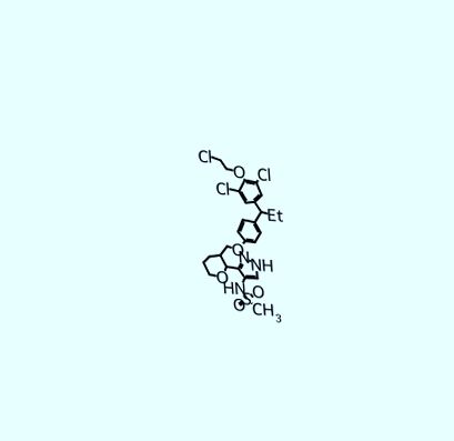 CCC(c1ccc(OCC2CCCOC2c2n[nH]cc2NS(C)(=O)=O)cc1)c1cc(Cl)c(OCCCl)c(Cl)c1